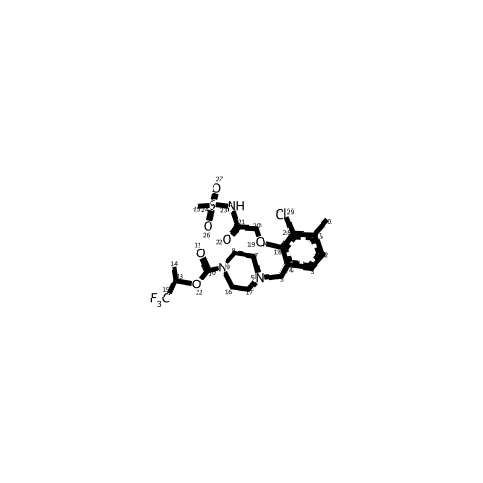 Cc1ccc(CN2CCN(C(=O)OC(C)C(F)(F)F)CC2)c(OCC(=O)NS(C)(=O)=O)c1Cl